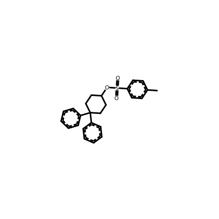 Cc1ccc(S(=O)(=O)OC2CCC(c3ccccc3)(c3ccccc3)CC2)cc1